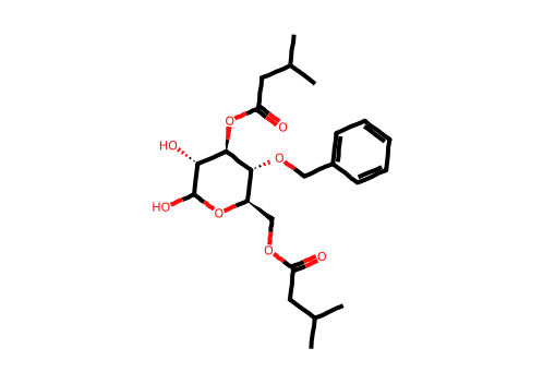 CC(C)CC(=O)OC[C@H]1OC(O)[C@H](O)[C@@H](OC(=O)CC(C)C)[C@@H]1OCc1ccccc1